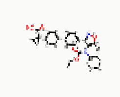 CCOC(=O)N(c1c(-c2ccc(-c3ccc(C4(C(=O)O)CC4)cc3)cc2)noc1C)C1CCCCC1